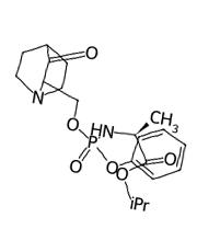 CC(C)OC(=O)[C@H](C)NP(=O)(OCC1C(=O)C2CCN1CC2)Oc1ccccc1